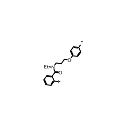 CCN(CCCOc1ccc(F)cc1)C(=O)c1ccccc1F